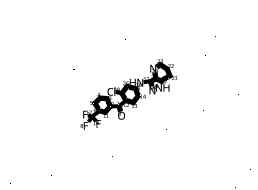 O=C(c1cccc(C(F)(F)F)c1)c1ccc(Nc2n[nH]c3cccnc23)cc1Cl